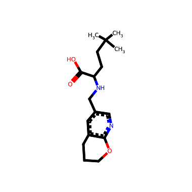 CC(C)(C)CCC(NCc1cnc2c(c1)CCCO2)C(=O)O